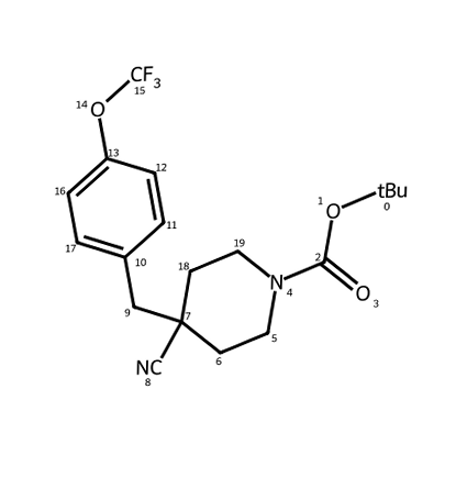 CC(C)(C)OC(=O)N1CCC(C#N)(Cc2ccc(OC(F)(F)F)cc2)CC1